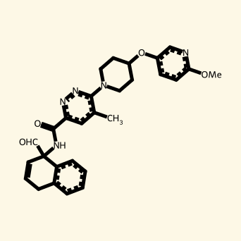 COc1ccc(OC2CCN(c3nnc(C(=O)NC4(C=O)C=CCc5ccccc54)cc3C)CC2)cn1